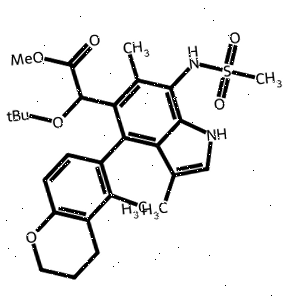 COC(=O)C(OC(C)(C)C)c1c(C)c(NS(C)(=O)=O)c2[nH]cc(C)c2c1-c1ccc2c(c1C)CCCO2